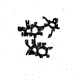 Cc1noc(C)c1-c1cc(-c2c(C)[nH]c3ncccc23)c2[nH]c(=O)[nH]c2c1